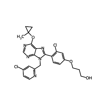 CC1(Oc2ncnc3c2nc(-c2ccc(OCCCO)cc2Cl)n3Cc2cc(Cl)ccn2)CC1